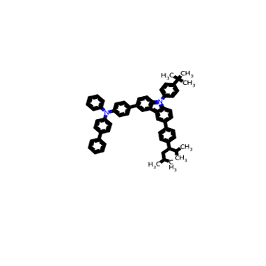 CC(C)CC(c1ccc(-c2ccc3c(c2)c2cc(-c4ccc(N(c5ccccc5)c5ccc(-c6ccccc6)cc5)cc4)ccc2n3-c2ccc(C(C)(C)C)cc2)cc1)C(C)C